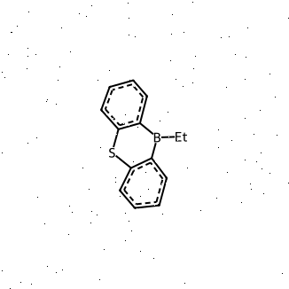 CCB1c2ccccc2Sc2ccccc21